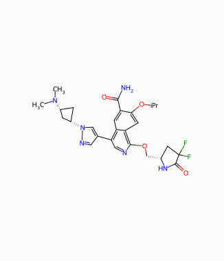 CC(C)Oc1cc2c(OC[C@@H]3CC(F)(F)C(=O)N3)ncc(-c3cnn([C@H]4C[C@@H](N(C)C)C4)c3)c2cc1C(N)=O